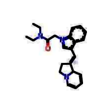 CCN(CC)C(=O)Cn1cc(/C=C2\CCN3C=CC=CC23)c2ccccc21